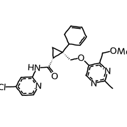 COCc1nc(C)ncc1OC[C@@]1(C2C=CC=CC2)C[C@H]1C(=O)Nc1cc(Cl)ccn1